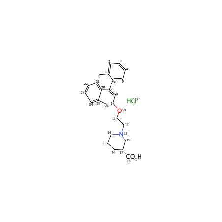 Cc1ccccc1C(=CCOCCN1CCC[C@@H](C(=O)O)C1)c1ccccc1C.Cl